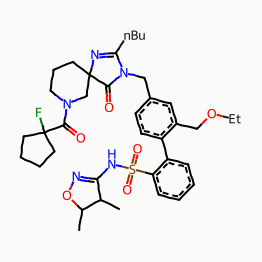 CCCCC1=NC2(CCCN(C(=O)C3(F)CCCC3)C2)C(=O)N1Cc1ccc(-c2ccccc2S(=O)(=O)NC2=NOC(C)C2C)c(COCC)c1